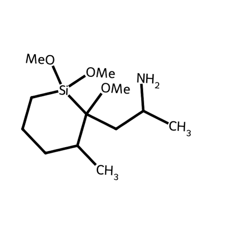 COC1(CC(C)N)C(C)CCC[Si]1(OC)OC